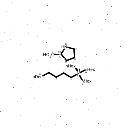 CCCCCCCCCCCCCC[PH](CCCCCC)(CCCCCC)CCCCCC.O=C(O)[C@@H]1CCCN1